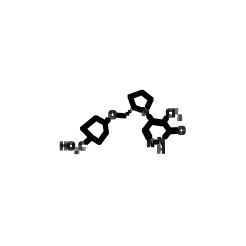 O=C(O)C1CCC(OC[C@@H]2CCCN2c2cn[nH]c(=O)c2C(F)(F)F)CC1